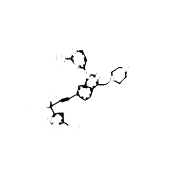 Cc1cc([C@](C)(O)C#Cc2ccc3c(CN4CCOCC4)nn(-c4ccnc(N)n4)c3c2)no1